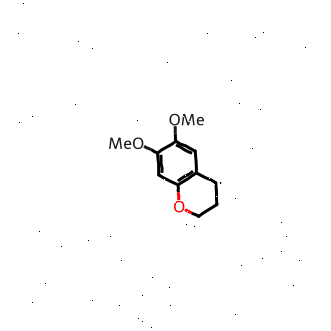 COc1cc2c(cc1OC)OCC[CH]2